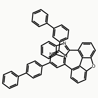 c1ccc(-c2ccc(-c3cc(-c4cccc5oc6cccc(-c7nc8ccccc8s7)c6c45)nc(-c4cccc(-c5ccccc5)c4)n3)cc2)cc1